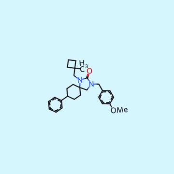 COc1ccc(CN2CC3(CCC(c4ccccc4)CC3)N(CC3(C)CCC3)C2=O)cc1